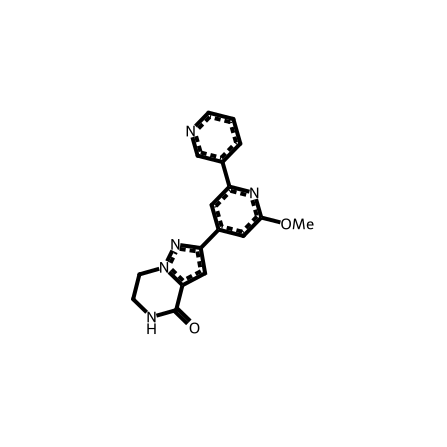 COc1cc(-c2cc3n(n2)CCNC3=O)cc(-c2cccnc2)n1